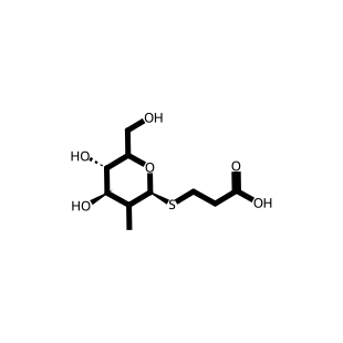 CC1[C@@H](O)[C@H](O)C(CO)O[C@H]1SCCC(=O)O